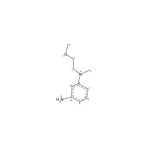 COCCN(C)c1cccc(N)c1